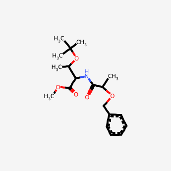 COC(=O)C(NC(=O)C(C)OCc1ccccc1)C(C)OC(C)(C)C